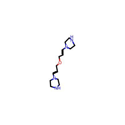 C(=CN1CCNCC1)COCC=CN1CCNCC1